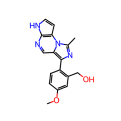 COc1ccc(-c2nc(C)n3c2cnc2[nH]ccc23)c(CO)c1